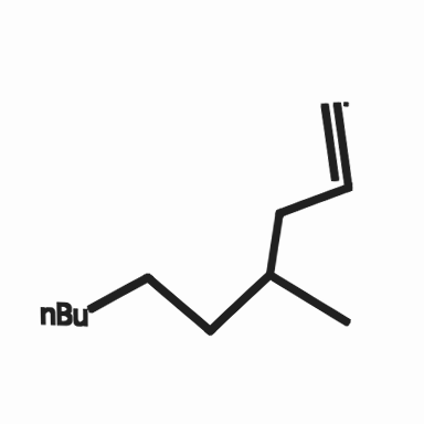 [CH]=CCC(C)CCCCCC